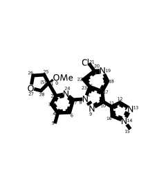 CO[C@]1(c2cc(C)cc(-n3nc(-c4cnn(C)c4)c4cnc(Cl)cc43)n2)CCOC1